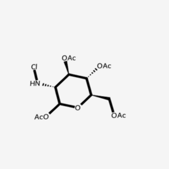 CC(=O)OC[C@H]1OC(OC(C)=O)[C@H](NCl)[C@@H](OC(C)=O)[C@@H]1OC(C)=O